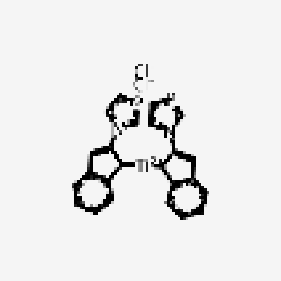 C1=C(n2ccpc2)[CH]([Ti+2][CH]2C(n3ccpc3)=Cc3ccccc32)c2ccccc21.[Cl-].[Cl-]